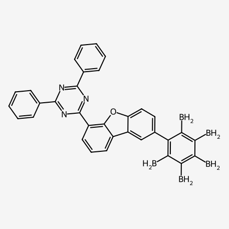 Bc1c(B)c(B)c(-c2ccc3oc4c(-c5nc(-c6ccccc6)nc(-c6ccccc6)n5)cccc4c3c2)c(B)c1B